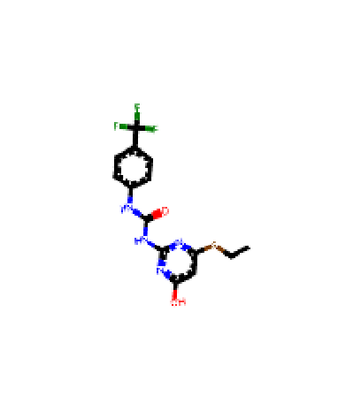 CCSc1cc(O)nc(NC(=O)Nc2ccc(C(F)(F)F)cc2)n1